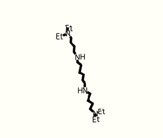 CCN(CC)CCCCNCCCCCCNCCCCN(CC)CC